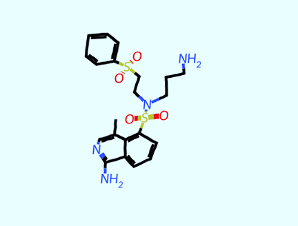 Cc1cnc(N)c2cccc(S(=O)(=O)N(CCCN)CCS(=O)(=O)c3ccccc3)c12